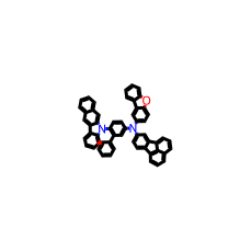 c1ccc(-c2cc(N(c3ccc4c(c3)-c3cccc5cccc-4c35)c3ccc4oc5ccccc5c4c3)ccc2-n2c3ccccc3c3cc4ccccc4cc32)cc1